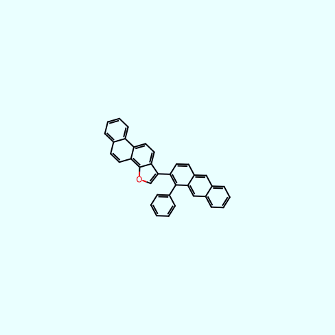 c1ccc(-c2c(-c3coc4c3ccc3c5ccccc5ccc34)ccc3cc4ccccc4cc23)cc1